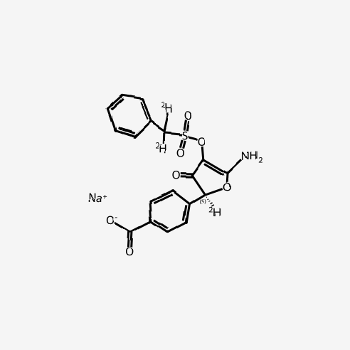 [2H]C([2H])(c1ccccc1)S(=O)(=O)OC1=C(N)O[C@@]([2H])(c2ccc(C(=O)[O-])cc2)C1=O.[Na+]